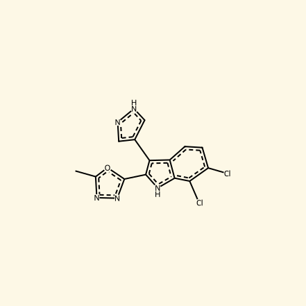 Cc1nnc(-c2[nH]c3c(Cl)c(Cl)ccc3c2-c2cn[nH]c2)o1